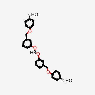 O=Cc1ccc(OCc2cccc(OBOc3cccc(COc4ccc(C=O)cc4)c3)c2)cc1